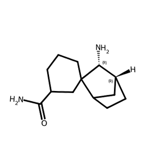 NC(=O)C1CCCC2(C1)C1CC[C@H](C1)[C@H]2N